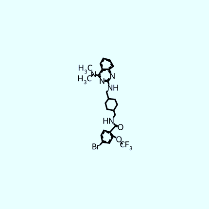 CN(C)c1nc(NCC2CCC(CNC(=O)c3ccc(Br)cc3OC(F)(F)F)CC2)nc2ccccc12